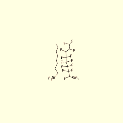 CCCCCCCC[SiH3].FC(F)C(F)C(F)C(F)(F)C(F)(F)C(F)(F)C(F)(F)C(F)[SiH3]